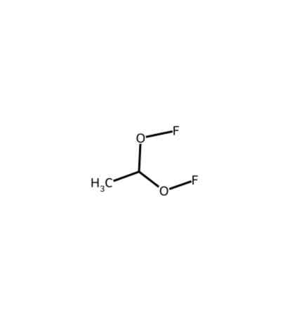 CC(OF)OF